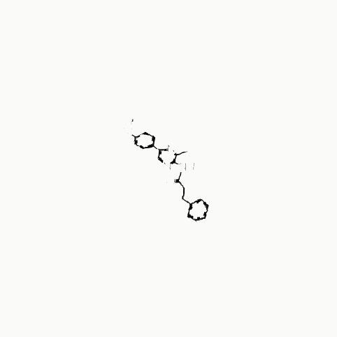 COc1ccc(-c2cnc(NC(=O)CCc3ccccc3)c(C)n2)cc1